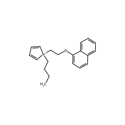 CCCC[N+]1(CCOc2cccc3ccccc23)C=CC=C1